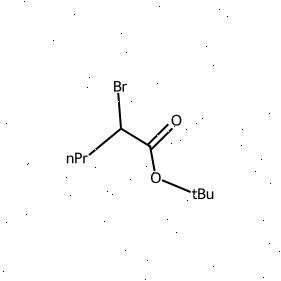 CCCC(Br)C(=O)OC(C)(C)C